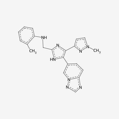 Cc1ccccc1NCc1nc(-c2ccn(C)n2)c(-c2ccc3ncnn3c2)[nH]1